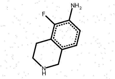 Nc1ccc2c(c1F)CCNC2